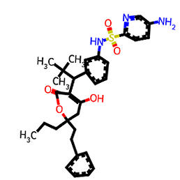 CCCC1(CCc2ccccc2)CC(O)=C(C(c2cccc(NS(=O)(=O)c3ccc(N)cn3)c2)C(C)(C)C)C(=O)O1